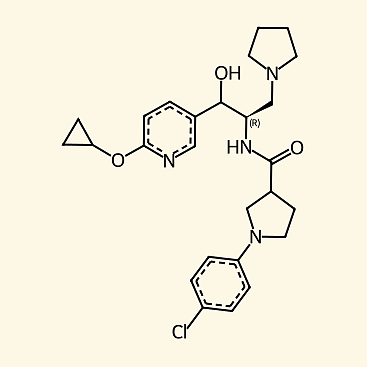 O=C(N[C@H](CN1CCCC1)C(O)c1ccc(OC2CC2)nc1)C1CCN(c2ccc(Cl)cc2)C1